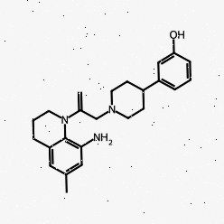 C=C(CN1CCC(c2cccc(O)c2)CC1)N1CCCc2cc(C)cc(N)c21